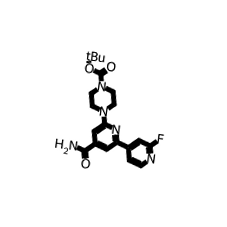 CC(C)(C)OC(=O)N1CCN(c2cc(C(N)=O)cc(-c3ccnc(F)c3)n2)CC1